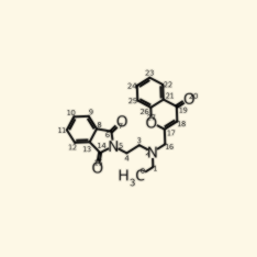 CCN(CCN1C(=O)c2ccccc2C1=O)Cc1cc(=O)c2ccccc2o1